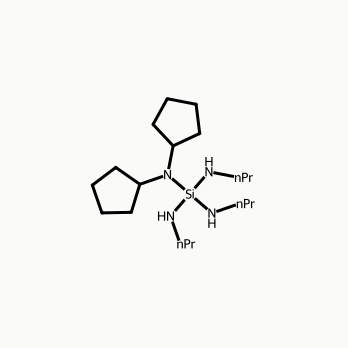 CCCN[Si](NCCC)(NCCC)N(C1CCCC1)C1CCCC1